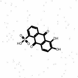 O=C1c2ccc(O)c(O)c2C(=O)c2cccc(S(=O)(=O)O)c21